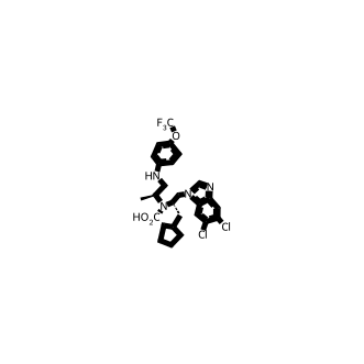 C[C@@H](CNc1ccc(OC(F)(F)F)cc1)N(C(=O)O)[C@@H](CC1CCCC1)Cn1cnc2cc(Cl)c(Cl)cc21